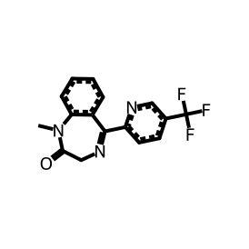 CN1C(=O)CN=C(c2ccc(C(F)(F)F)cn2)c2ccccc21